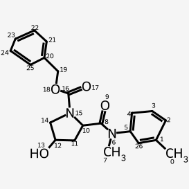 Cc1cccc(N(C)C(=O)C2CC(O)CN2C(=O)OCc2ccccc2)c1